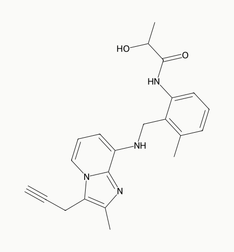 C#CCc1c(C)nc2c(NCc3c(C)cccc3NC(=O)C(C)O)cccn12